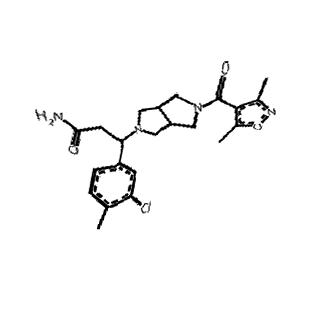 Cc1ccc(C(CC(N)=O)N2CC3CN(C(=O)c4c(C)noc4C)CC3C2)cc1Cl